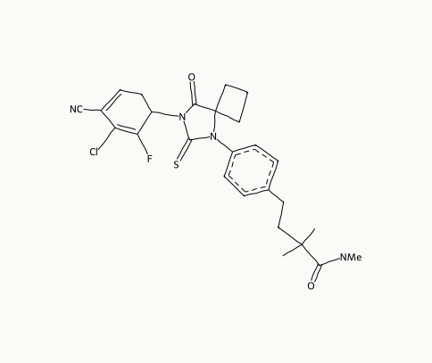 CNC(=O)C(C)(C)CCc1ccc(N2C(=S)N(C3CC=C(C#N)C(Cl)=C3F)C(=O)C23CCC3)cc1